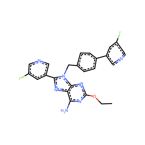 CCOc1nc(N)c2nc(-c3cncc(F)c3)n(Cc3ccc(-c4cncc(F)c4)cc3)c2n1